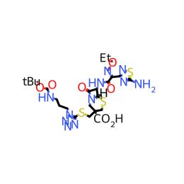 CCON=C(C(=O)NC1C(=O)N2CC(CSc3nnnn3CCCNC(=O)OC(C)(C)C)(C(=O)O)CS[C@H]12)c1nsc(N)n1